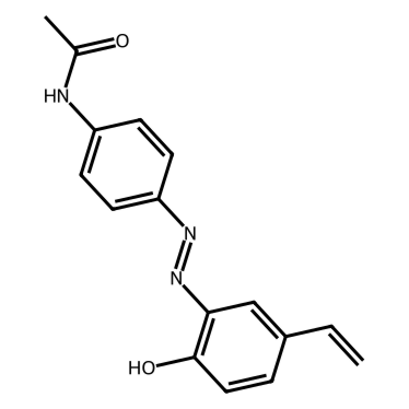 C=Cc1ccc(O)c(N=Nc2ccc(NC(C)=O)cc2)c1